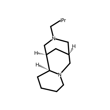 CC(C)CN1C[C@@H]2C[C@H](C1)[C@@H]1CCCCN1C2